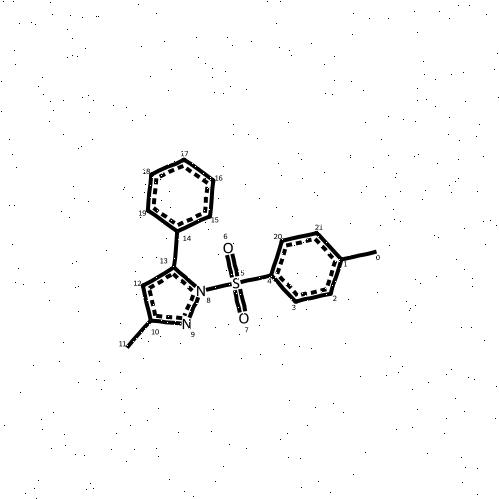 Cc1ccc(S(=O)(=O)n2nc(C)cc2-c2ccccc2)cc1